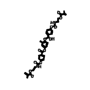 C=C(C)C(=O)OCCNC(=O)Oc1ccc(C(=O)Oc2ccc(OC(O)c3ccc(OC(=O)NCCOC(=O)C(=C)C)cc3)c(C)c2)cc1